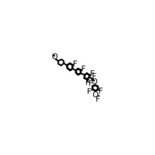 COCC1CCC(c2ccc(-c3ccc(-c4cc(F)c(C(F)(F)Oc5cc(F)c(OCF)c(F)c5)c(F)c4)c(F)c3)c(F)c2)CC1